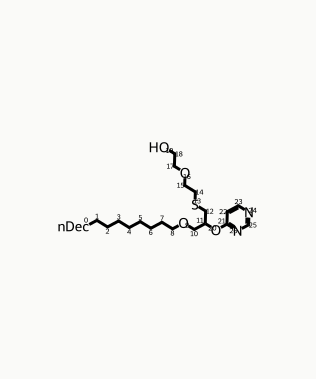 CCCCCCCCCCCCCCCCCCOCC(CSCCOCCO)Oc1ccncn1